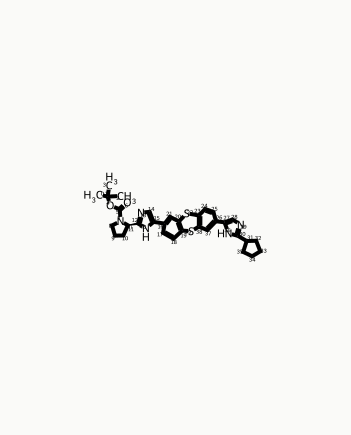 CC(C)(C)OC(=O)N1CCC[C@@H]1c1ncc(-c2ccc3c(c2)Sc2ccc(-c4cnc(C5CCCC5)[nH]4)cc2S3)[nH]1